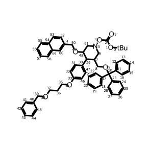 CC(C)(C)OC(=O)ON1CC(COC(c2ccccc2)(c2ccccc2)c2ccccc2)C(c2ccc(OCCCOCc3ccccc3)cc2)C(OCc2ccc3ccccc3c2)C1